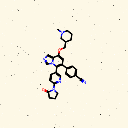 CN1CCCC(COc2cc(-c3ccc(C#N)cc3)c(-c3ccc(N4CCCC4=O)nc3)n3cncc23)C1